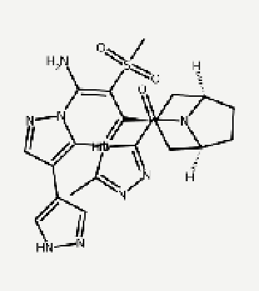 Cc1nnc(C(=O)N2[C@@H]3CC[C@H]2C[C@@H](c2nc4c(-c5cn[nH]c5)cnn4c(N)c2S(C)(=O)=O)C3)[nH]1